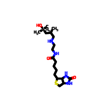 CC(CNCCNC(=O)CCCCC1SCC2NC(=O)NC21)C[Si](C)(C)O